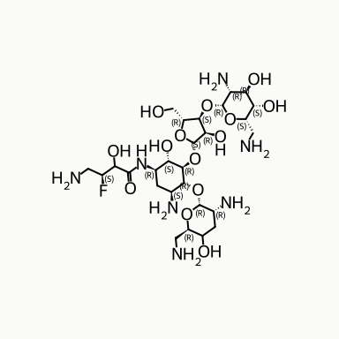 NC[C@@H]1O[C@H](O[C@H]2[C@@H](O)[C@H](O[C@@H]3[C@@H](O)[C@H](NC(=O)C(O)[C@@H](F)CN)C[C@H](N)[C@H]3O[C@H]3O[C@H](CN)C(O)C[C@H]3N)O[C@@H]2CO)[C@H](N)[C@@H](O)[C@@H]1O